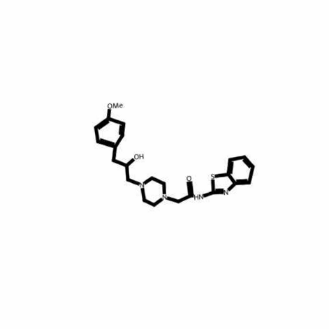 COc1ccc(CC(O)CN2CCN(CC(=O)Nc3nc4ccccc4s3)CC2)cc1